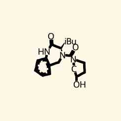 CC[C@H](C)[C@H]1C(=O)Nc2ccccc2CN1C(=O)N1CCC(O)C1